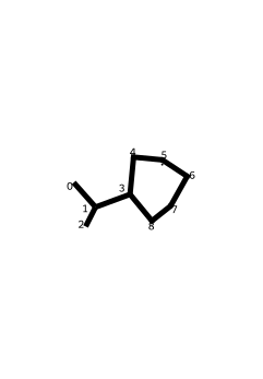 CC(C)C1C[CH]CCC1